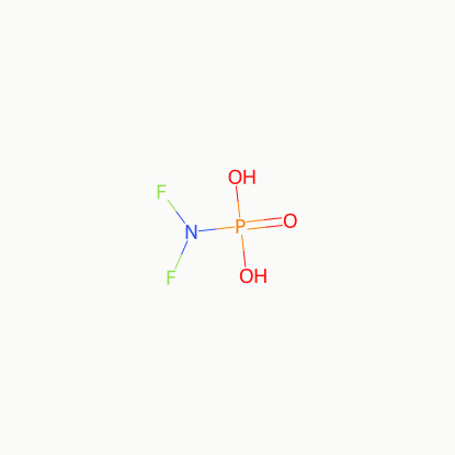 O=P(O)(O)N(F)F